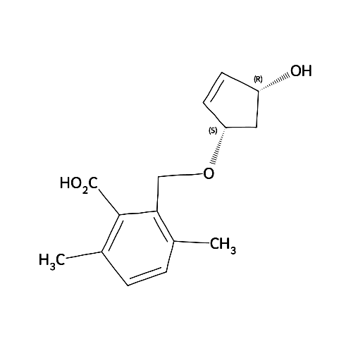 Cc1ccc(C)c(C(=O)O)c1CO[C@@H]1C=C[C@H](O)C1